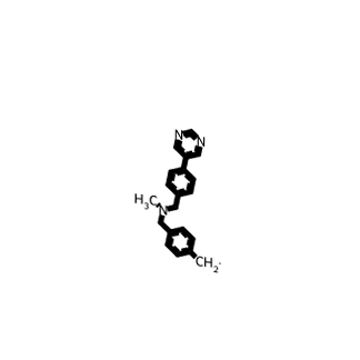 [CH2]c1ccc(CN(C)Cc2ccc(-c3cncnc3)cc2)cc1